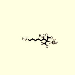 CCCCCCC(C)C(C)(C(=O)[O-])C(=O)[O-].[Li+].[Na+]